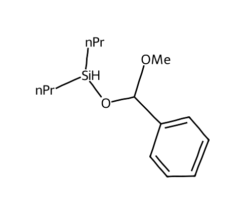 CCC[SiH](CCC)OC(OC)c1ccccc1